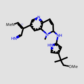 CN/C=C(\C=N)c1cnc2c(c1)N(C)C(Nc1cc(C(C)(C)COC)c[nH]1)C=C2